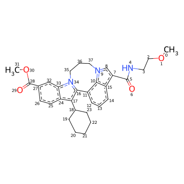 COCCNC(=O)c1cn2c3c(cccc13)-c1c(C3CCCCC3)c3ccc(C(=O)OC)cc3n1CCC2